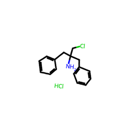 Cl.NC(CCl)(Cc1ccccc1)Cc1ccccc1